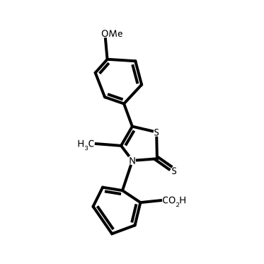 COc1ccc(-c2sc(=S)n(-c3ccccc3C(=O)O)c2C)cc1